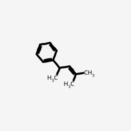 CC(C)=CC(C)c1ccccc1